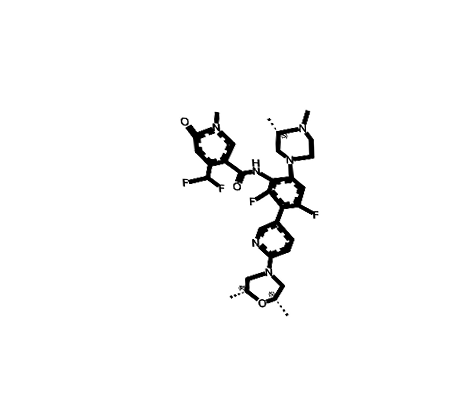 C[C@@H]1CN(c2ccc(-c3c(F)cc(N4CCN(C)[C@@H](C)C4)c(NC(=O)c4cn(C)c(=O)cc4C(F)F)c3F)cn2)C[C@H](C)O1